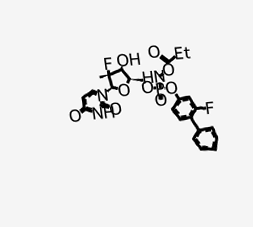 CCC(=O)ONP(=O)(OC[C@H]1O[C@@H](n2ccc(=O)[nH]c2=O)[C@](C)(F)[C@@H]1O)Oc1ccc(-c2ccccc2)c(F)c1